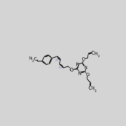 C=CCOc1nc(OCC=C)nc(OC/C=C\C=C/c2ccc(C=C)cc2)n1